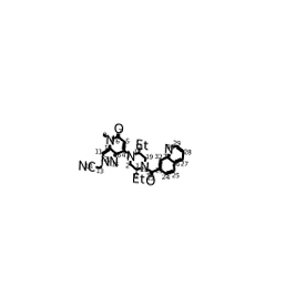 CC[C@@H]1CN(c2cc(=O)n(C)c3cn(CC#N)nc23)[C@@H](CC)CN1C(=O)c1ccc2cccnc2c1